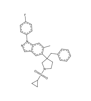 Cc1cc2c(cnn2-c2ccc(F)cc2)cc1C1(Cc2ccccc2)CCN(S(=O)(=O)C2CC2)C1